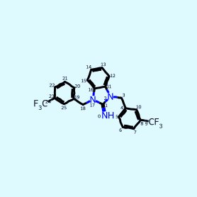 N=c1n(Cc2cccc(C(F)(F)F)c2)c2ccccc2n1Cc1cccc(C(F)(F)F)c1